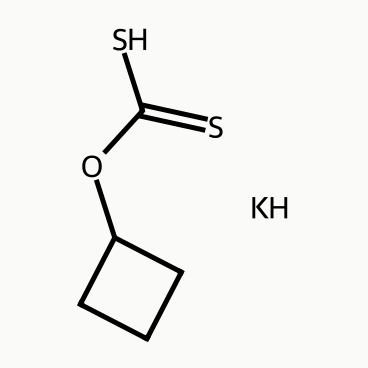 S=C(S)OC1CCC1.[KH]